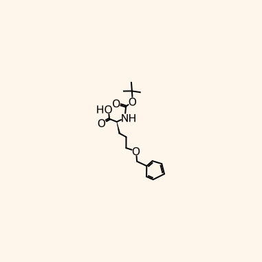 CC(C)(C)OC(=O)N[C@@H](CCCOCc1ccccc1)C(=O)O